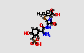 CC1(C)SC2C(NC(=O)C(N)c3ccc(O)c(CS(=O)(=O)O)c3)C(=O)N2C1C(=O)O